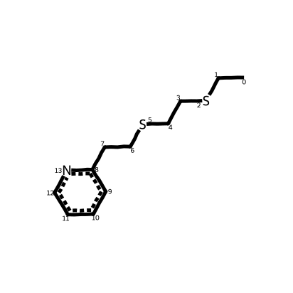 CCSCCSCCc1ccccn1